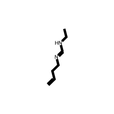 C=CCC/N=C/NCC